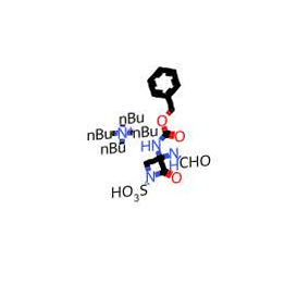 CCCC[N+](CCCC)(CCCC)CCCC.O=CNC1(NC(=O)OCc2ccccc2)CN(S(=O)(=O)O)C1=O